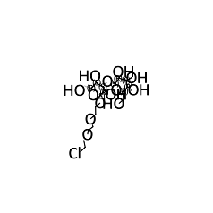 OC[C@H]1O[C@@H](O[C@H]2[C@@H](O)[C@@H](CO)O[C@H](OCCOCCOCCCl)[C@@H]2O)[C@H](O)[C@@H](O)[C@H]1O